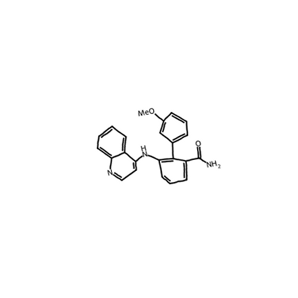 COc1cccc(-c2c(Nc3ccnc4ccccc34)cccc2C(N)=O)c1